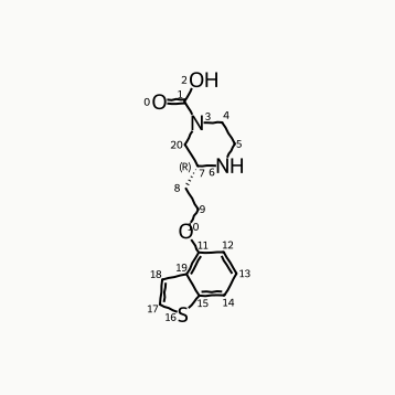 O=C(O)N1CCN[C@H](CCOc2cccc3sccc23)C1